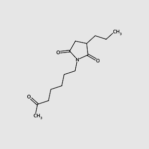 CCCC1CC(=O)N(CCCCCC(C)=O)C1=O